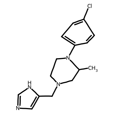 CC1CN(Cc2cnc[nH]2)CCN1c1ccc(Cl)cc1